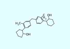 Cc1cc(Cc2ccc(C3CCCCC3O)c(C)c2)ccc1C1CCCCC1O